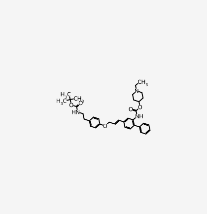 CCN1CCC(OC(=O)Nc2cc(/C=C/COc3ccc(CCNC(=O)OC(C)(C)C)cc3)ccc2-c2ccccc2)CC1